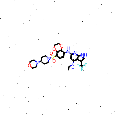 CCNc1cc(Nc2ccc(S(=O)(=O)N3CCC(N4CCOCC4)CC3)c3c2OCCO3)nc2[nH]cc(C(F)(F)F)c12